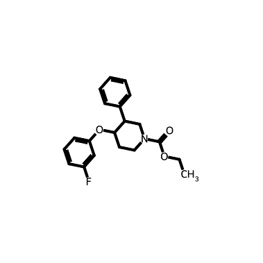 CCOC(=O)N1CCC(Oc2cccc(F)c2)C(c2ccccc2)C1